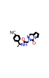 C[C@H](NC(=O)Cn1ncc2cccn2c1=O)c1ccc(C#N)cc1